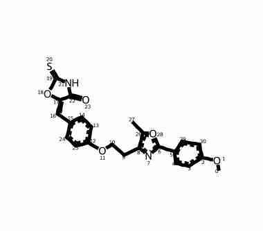 COc1ccc(-c2nc(CCOc3ccc(C=C4OC(=S)NC4=O)cc3)c(C)o2)cc1